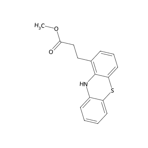 COC(=O)CCc1cccc2c1Nc1ccccc1S2